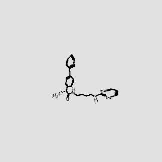 [CH2][C@H](C(=O)NCCCCNc1ncccn1)c1ccc(-c2ccccc2)cc1